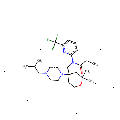 CCC(=O)N(CC1(N2CCN(CC(C)C)CC2)CCOC(C)(C)C1)c1cccc(C(F)(F)F)n1